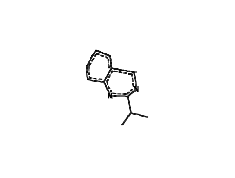 CC(C)c1n[c]c2ccccc2n1